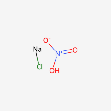 O=[N+]([O-])O.[Na][Cl]